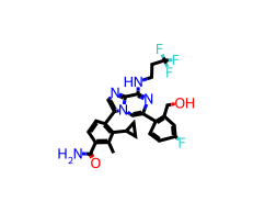 Cc1c(C(N)=O)ccc(-c2cnc3c(NCCC(F)(F)F)nc(-c4ccc(F)cc4CO)cn23)c1C1CC1